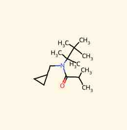 CC(C)C(=O)N(CC1CC1)C(C)(C)C(C)(C)C